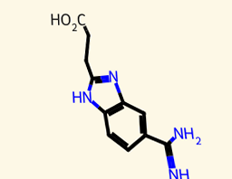 N=C(N)c1ccc2[nH]c(CCC(=O)O)nc2c1